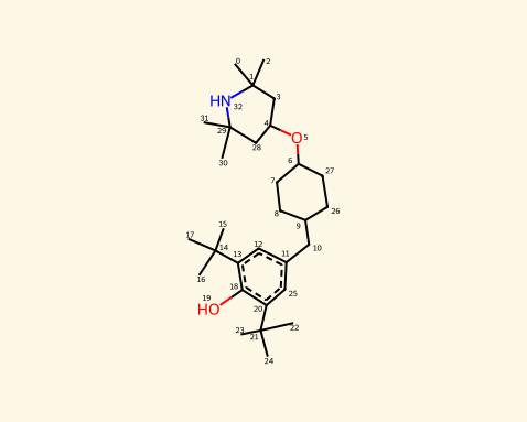 CC1(C)CC(OC2CCC(Cc3cc(C(C)(C)C)c(O)c(C(C)(C)C)c3)CC2)CC(C)(C)N1